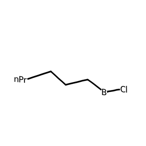 CCCCCC[B]Cl